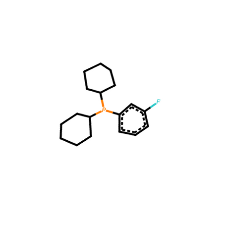 Fc1cccc(P(C2CCCCC2)C2CCCCC2)c1